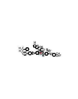 CC(C)c1ccccc1[C@@H]1COCCN1C1CCC2(CC1)CN(c1ccc(C(=O)NS(=O)(=O)c3ccc(NC[C@H]4CC[C@](C)(O)CC4)c([N+](=O)[O-])c3)c(N3c4cc5cc[nH]c5nc4O[C@H]4COCC[C@@H]43)c1)C2